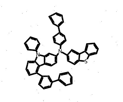 c1ccc(-c2ccc(N(c3ccc4sc5ccccc5c4c3)c3ccc4c5c(-c6cccc(-c7ccccc7)c6)cccc5n(-c5ccccc5)c4c3)cc2)cc1